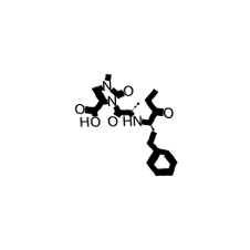 CCC(=O)[C@H](CCc1ccccc1)N[C@@H](C)C(=O)n1c(C(=O)O)cn(C)c1=O